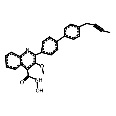 CC#CCc1ccc(-c2ccc(-c3nc4ccccc4c(C(=O)NO)c3OC)cc2)cc1